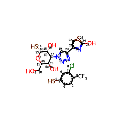 FC(F)(F)c1ccc(S)cc1Cl.OC[C@H]1O[C@H](S)[C@H](O)[C@@H](n2cc(-c3csc(O)n3)nn2)[C@H]1O